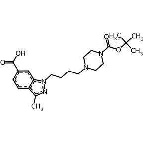 Cc1nn(CCCCN2CCN(C(=O)OC(C)(C)C)CC2)c2cc(C(=O)O)ccc12